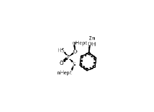 CCCCCCCOP(=O)(S)SCCCCCCC.Oc1ccccc1.[Zn]